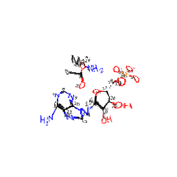 CC(=O)ON.Nc1ncnc2c1ncn2[C@@H]1O[C@H](COP(=O)([O-])[O-])[C@@H](O)[C@H]1O.[Mn+2]